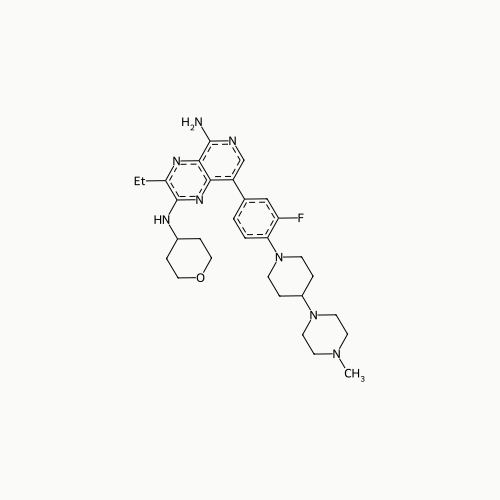 CCc1nc2c(N)ncc(-c3ccc(N4CCC(N5CCN(C)CC5)CC4)c(F)c3)c2nc1NC1CCOCC1